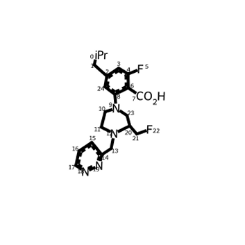 CC(C)Cc1cc(F)c(C(=O)O)c(N2CCN(Cc3cccnn3)C(CF)C2)c1